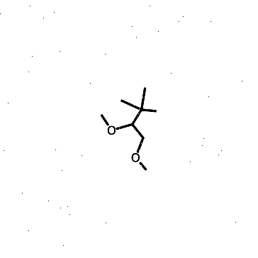 COCC(OC)C(C)(C)C